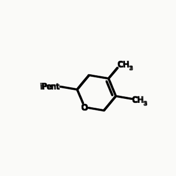 CCCC(C)C1CC(C)=C(C)CO1